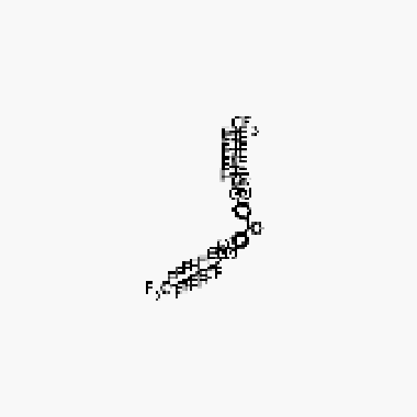 O=C(c1ccc(OS(=O)(=O)CC(F)(F)C(F)(F)C(F)(F)C(F)(F)C(F)(F)C(F)(F)C(F)(F)F)cc1)c1ccc(OS(=O)(=O)CC(F)(F)C(F)(F)C(F)(F)C(F)(F)C(F)(F)C(F)(F)C(F)(F)F)cc1